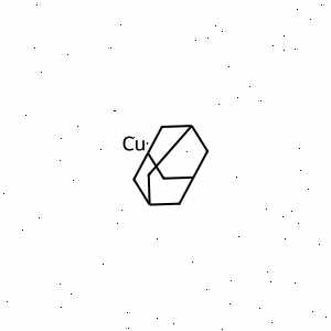 C1C2CC3CC1CC(C2)C3.[Cu]